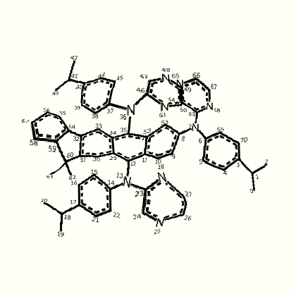 CC(C)c1ccc(N(c2ccc3c(N(c4ccc(C(C)C)cc4)c4cnccn4)c4cc5c(cc4c(N(c4ccc(C(C)C)cc4)c4cnccn4)c3c2)-c2ccccc2C5(C)C)c2cnccn2)cc1